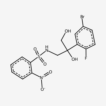 O=[N+]([O-])c1ccccc1S(=O)(=O)NCC(O)(CO)c1cc(Br)ccc1F